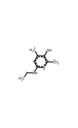 CCNc1cc(C)c(O)c(C)n1